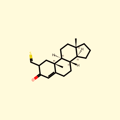 C[C@@]12CCC[C@H]1[C@@H]1CCC3=CC(=O)C(C=S)C[C@]3(C)[C@H]1CC2